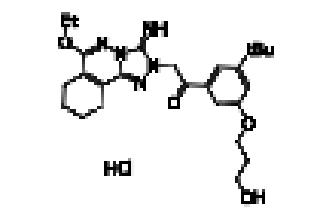 CCOc1nn2c(=N)n(CC(=O)c3cc(OCCCO)cc(C(C)(C)C)c3)nc2c2c1CCCC2.Cl